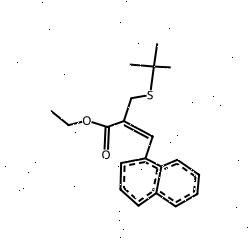 CCOC(=O)/C(=C\c1cccc2ccccc12)CSC(C)(C)C